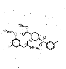 CCCCCOc1cc(F)cc(C[C@@H](C[C@H]2CN(S(=O)(=O)c3cccc(C)c3)CCN2C(=O)OC(C)(C)C)NC(C)=O)c1